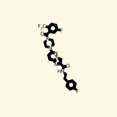 O=C(NCCc1ccc(F)cc1)c1cn2nc(N3CCN(C(=O)c4cc(F)ccc4C(F)(F)F)CC3)ccc2n1